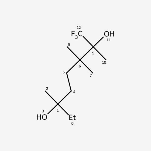 CCC(C)(O)CCC(C)(C)C(C)(O)C(F)(F)F